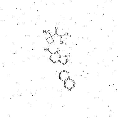 CN(C)C(=O)[C@]1(C)C[C@H](Nc2ncc3c(-c4ccc5nnccc5c4)c[nH]c3n2)C1